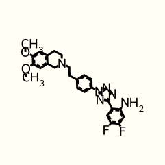 COc1cc2c(cc1OC)CN(CCc1ccc(-n3nnc(-c4cc(F)c(F)cc4N)n3)cc1)CC2